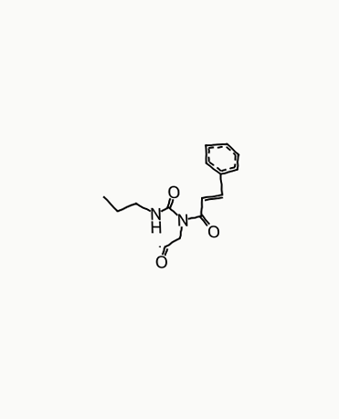 CCCNC(=O)N(C[C]=O)C(=O)/C=C/c1ccccc1